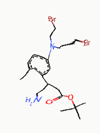 Cc1ccc(N(CCBr)CCBr)cc1C(CN)CC(=O)OC(C)(C)C